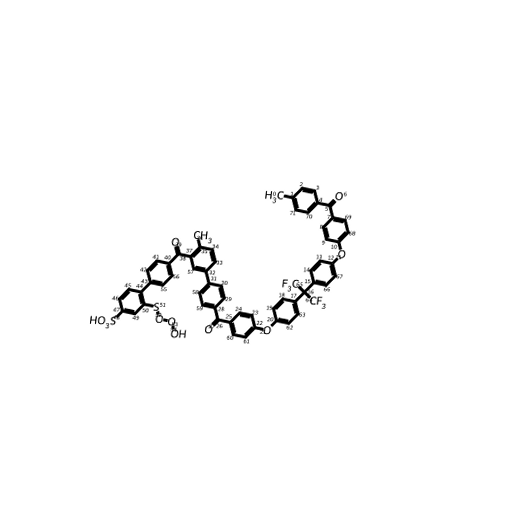 Cc1ccc(C(=O)c2ccc(Oc3ccc(C(c4ccc(Oc5ccc(C(=O)c6ccc(-c7ccc(C)c(C(=O)c8ccc(-c9ccc(S(=O)(=O)O)cc9SOOO)cc8)c7)cc6)cc5)cc4)(C(F)(F)F)C(F)(F)F)cc3)cc2)cc1